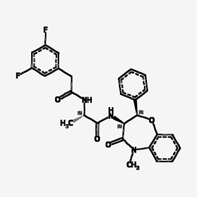 C[C@H](NC(=O)Cc1cc(F)cc(F)c1)C(=O)N[C@@H]1C(=O)N(C)c2ccccc2O[C@@H]1c1ccccc1